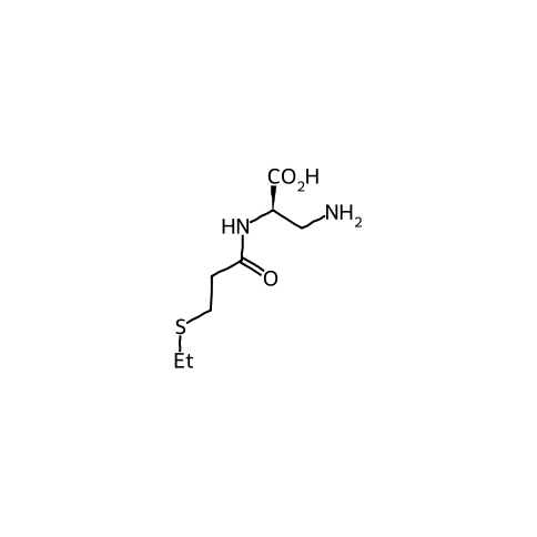 CCSCCC(=O)N[C@H](CN)C(=O)O